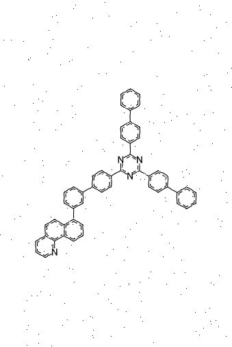 c1ccc(-c2ccc(-c3nc(-c4ccc(-c5ccccc5)cc4)nc(-c4ccc(-c5cccc(-c6cccc7c6ccc6cccnc67)c5)cc4)n3)cc2)cc1